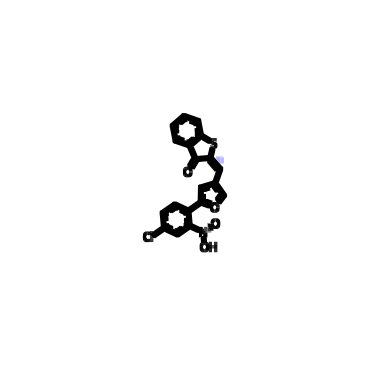 O=C1/C(=C\c2coc(-c3ccc(Cl)cc3[N+](=O)O)c2)Sc2ccccc21